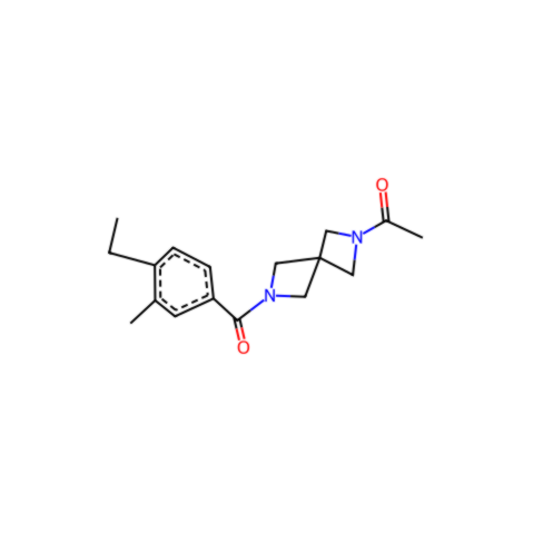 CCc1ccc(C(=O)N2CC3(CN(C(C)=O)C3)C2)cc1C